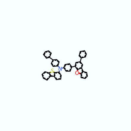 c1ccc(-c2ccc(N(c3ccc(-c4cc(-c5ccccc5)cc5c4oc4ccccc45)cc3)c3cccc4c3sc3ccccc34)cc2)cc1